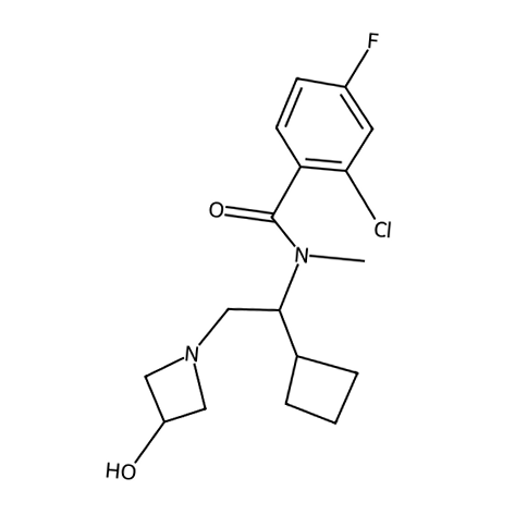 CN(C(=O)c1ccc(F)cc1Cl)C(CN1CC(O)C1)C1CCC1